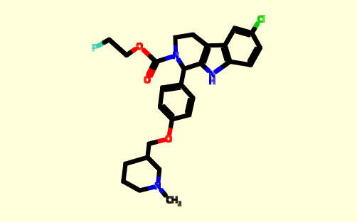 CN1CCCC(COc2ccc(C3c4[nH]c5ccc(Cl)cc5c4CCN3C(=O)OCCF)cc2)C1